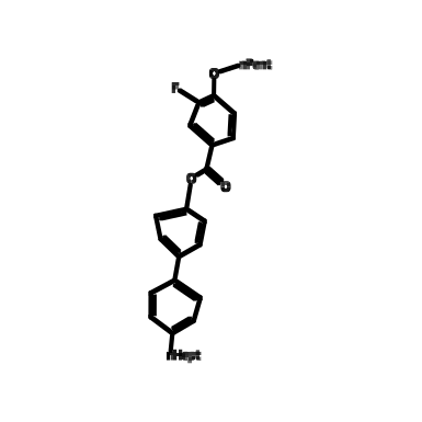 CCCCCCCc1ccc(-c2ccc(OC(=O)c3ccc(OCCCCC)c(F)c3)cc2)cc1